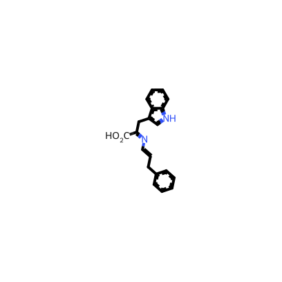 O=C(O)C(Cc1c[nH]c2ccccc12)=NC=CCc1ccccc1